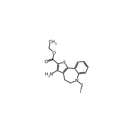 CCOC(=O)c1sc2c(c1N)CCN(SI)c1ccccc1-2